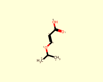 CC(C)OC=CC(=O)O